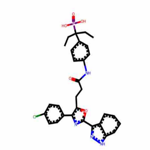 CCC(CC)(c1ccc(NC(=O)CCc2oc(-c3n[nH]c4ccccc34)nc2-c2ccc(Cl)cc2)cc1)P(=O)(O)O